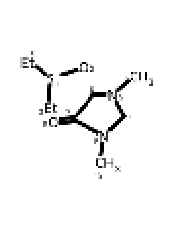 CC[S+]([O-])CC.CN1CC(=O)N(C)C1